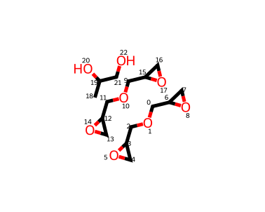 C(OCC1CO1)C1CO1.C(OCC1CO1)C1CO1.CC(O)CO